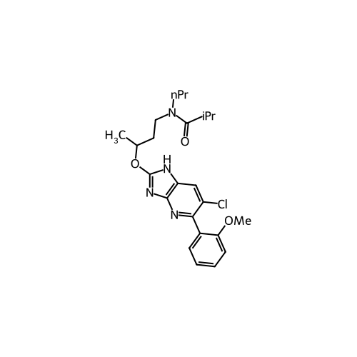 CCCN(CCC(C)Oc1nc2nc(-c3ccccc3OC)c(Cl)cc2[nH]1)C(=O)C(C)C